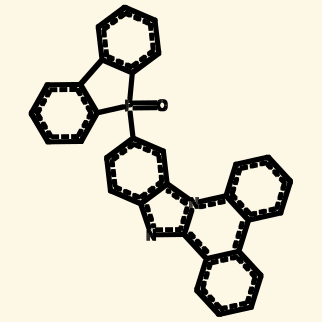 O=P1(c2ccc3nc4c5ccccc5c5ccccc5n4c3c2)c2ccccc2-c2ccccc21